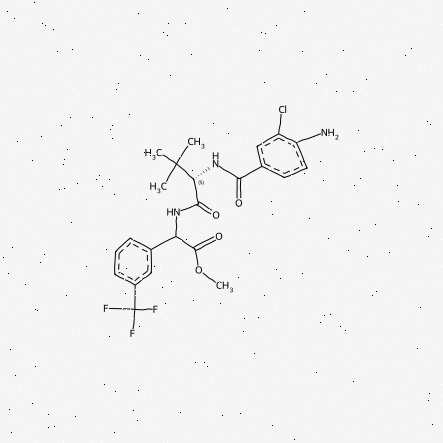 COC(=O)C(NC(=O)[C@@H](NC(=O)c1ccc(N)c(Cl)c1)C(C)(C)C)c1cccc(C(F)(F)F)c1